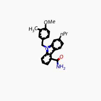 CCCc1c[c]c2c3c(C(N)=O)cccc3n(Cc3ccc(OC)c(C)c3)c2c1